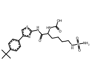 CC(C)(C)c1ccc(-c2csc(NC(=O)C(CCCCNS(N)(=O)=O)NC(=O)O)n2)cc1